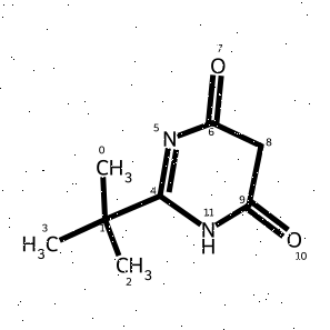 CC(C)(C)C1=NC(=O)CC(=O)N1